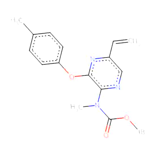 C=Cc1cnc(N(C)C(=O)OC(C)(C)C)c(Oc2ccc(C)cc2)n1